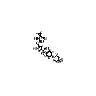 N#CC1(NC(=O)O[C@H]2C[C@@H](S(=O)(=O)c3ccc(N4CCC(F)(F)CC4)cc3Cl)CN2)CC1